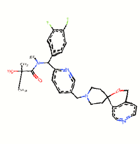 CCN(C(=O)C(C)(C)O)C(c1ccc(F)c(F)c1)c1ccc(CN2CCC3(CC2)OCc2ccncc23)cn1